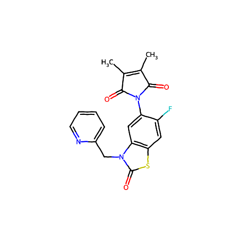 CC1=C(C)C(=O)N(c2cc3c(cc2F)sc(=O)n3Cc2ccccn2)C1=O